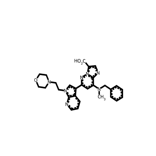 CN(Cc1ccccc1)c1cc(-c2cn(CCN3CCOCC3)c3ncccc23)nn2c(C(=O)O)cnc12